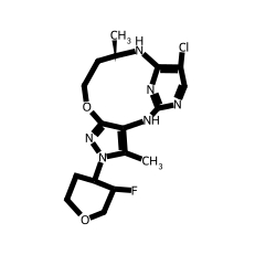 Cc1c2c(nn1C1CCOCC1F)OCC[C@@H](C)Nc1nc(ncc1Cl)N2